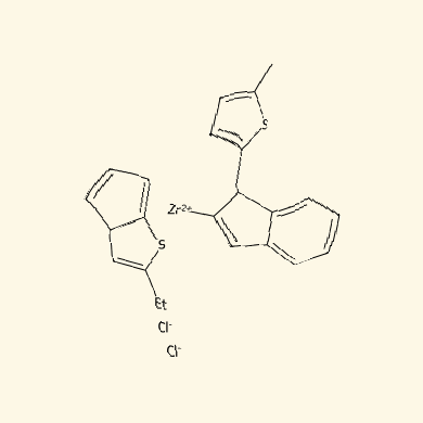 CCC1=CC2C=CC=C2S1.Cc1ccc(C2[C]([Zr+2])=Cc3ccccc32)s1.[Cl-].[Cl-]